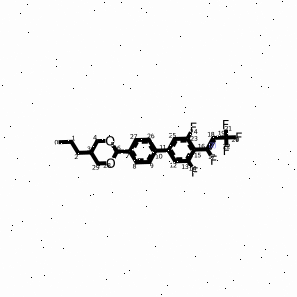 CCCC1COC(c2ccc(-c3cc(F)c(/C(F)=C/C(F)(F)F)c(F)c3)cc2)OC1